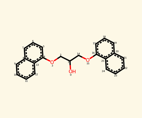 OC(COc1cccc2ccccc12)COc1cccc2ccccc12